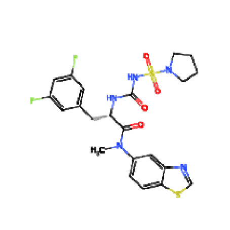 CN(C(=O)[C@H](Cc1cc(F)cc(F)c1)NC(=O)NS(=O)(=O)N1CCCC1)c1ccc2scnc2c1